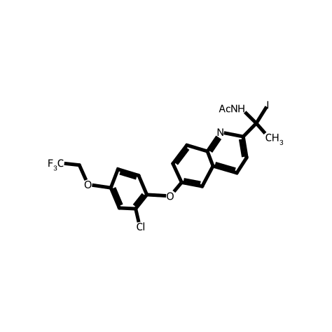 CC(=O)NC(C)(I)c1ccc2cc(Oc3ccc(OCC(F)(F)F)cc3Cl)ccc2n1